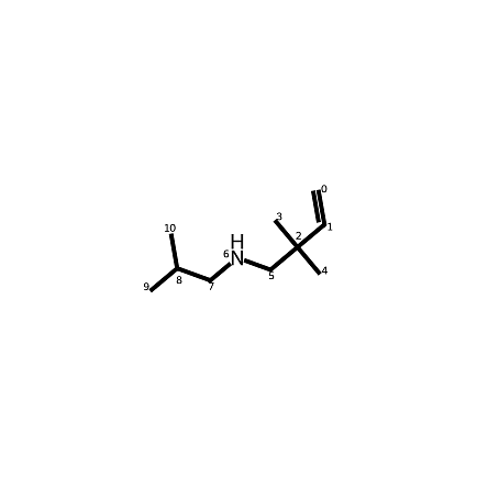 C=CC(C)(C)CNCC(C)C